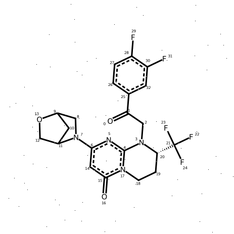 O=C(CN1c2nc(N3CC4CC3CO4)cc(=O)n2CC[C@H]1C(F)(F)F)c1ccc(F)c(F)c1